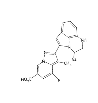 CCC1CNc2cccc3cc(-c4nn5cc(C(=O)O)cc(F)c5c4C)n1c23